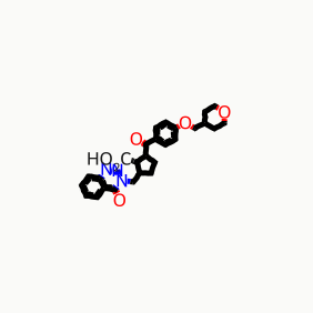 O=C(c1ccc(OCC2CCOCC2)cc1)C1CCC(Cn2nnc3ccccc3c2=O)C1C(=O)O